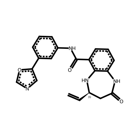 C=C[C@@H]1CC(=O)Nc2cccc(C(=O)Nc3cccc(-c4cnco4)c3)c2N1